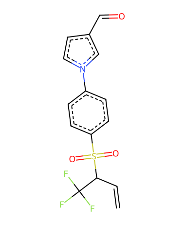 C=CC(C(F)(F)F)S(=O)(=O)c1ccc(-n2ccc(C=O)c2)cc1